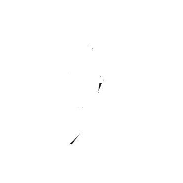 CC(=O)OC[C@@H]1C[C@@H](OC(C)=O)[C@H](n2cc(/C(I)=C\I)c(=O)[nH]c2=O)O1